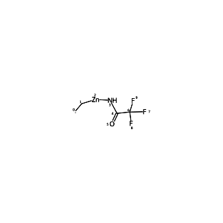 [CH2][CH2][Zn][NH]C(=O)C(F)(F)F